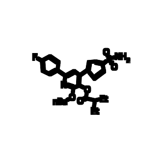 CCCCOc1nc(-c2ccc(F)cc2)cc(-c2ccc(S(N)(=O)=O)cc2)c1OC(=O)C(CC)CC